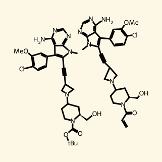 C=CC(=O)N1CCC(N2CC(C#Cc3c(-c4ccc(Cl)c(OC)c4)c4c(N)ncnc4n3C)C2)C[C@H]1CO.COc1cc(-c2c(C#CC3CN(C4CCN(C(=O)OC(C)(C)C)[C@H](CO)C4)C3)n(C)c3ncnc(N)c23)ccc1Cl